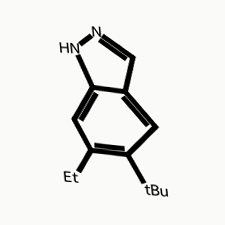 CCc1cc2[nH]ncc2cc1C(C)(C)C